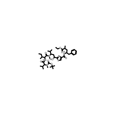 CCOC(=O)C(C)CC(Cc1ccccc1)NC(=O)c1csc(C(O)CC(C(C)C)N(C)C(=O)C(NC(=O)C(C(C)C)N(C)C(=O)OC(C)(C)C)C(C)CC)n1